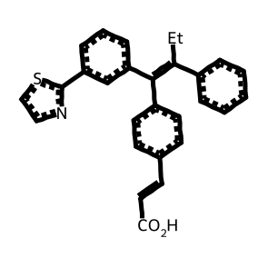 CCC(=C(c1ccc(C=CC(=O)O)cc1)c1cccc(-c2nccs2)c1)c1ccccc1